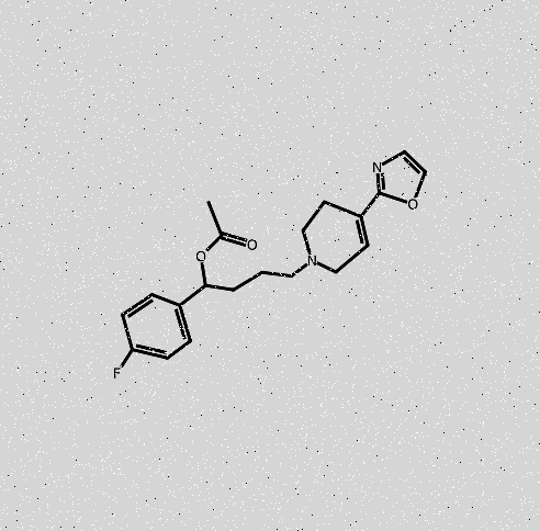 CC(=O)OC(CCCN1CC=C(c2ncco2)CC1)c1ccc(F)cc1